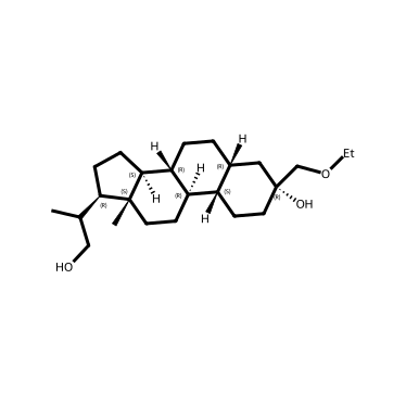 CCOC[C@@]1(O)CC[C@H]2[C@H](CC[C@@H]3[C@@H]2CC[C@]2(C)[C@@H](C(C)CO)CC[C@@H]32)C1